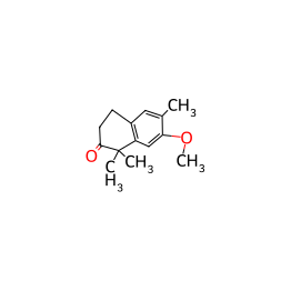 COc1cc2c(cc1C)CCC(=O)C2(C)C